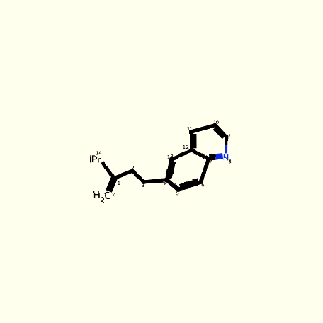 C=C(CCc1ccc2ncccc2c1)C(C)C